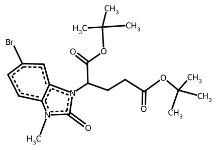 Cn1c(=O)n(C(CCC(=O)OC(C)(C)C)C(=O)OC(C)(C)C)c2cc(Br)ccc21